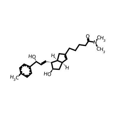 Cc1ccc([C@H](O)/C=C/[C@@H]2[C@H]3CC(CCCCC(=O)N(C)C)=C[C@H]3C[C@H]2O)cc1